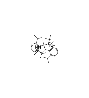 CC(=N)CC(c1c(C(C)C)cccc1C(C)C)C(C)(C(=N)C(C)(C)C)c1c(C(C)C)cccc1C(C)C